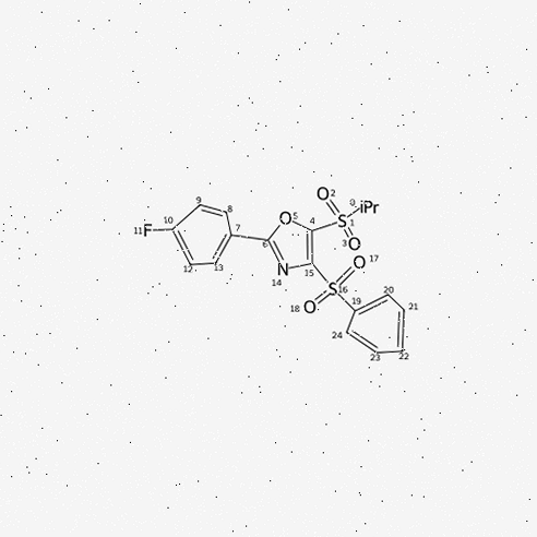 CC(C)S(=O)(=O)c1oc(-c2ccc(F)cc2)nc1S(=O)(=O)c1ccccc1